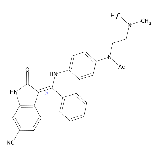 CC(=O)N(CCN(C)C)c1ccc(N/C(=C2\C(=O)Nc3cc(C#N)ccc32)c2ccccc2)cc1